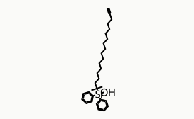 C#CCCCCCCCCCCCCCCC(C)(C)[Si](O)(c1ccccc1)c1ccccc1